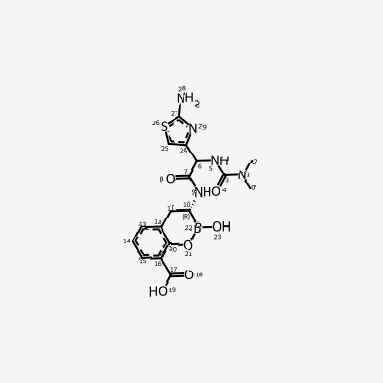 CN(C)C(=O)NC(C(=O)N[C@H]1Cc2cccc(C(=O)O)c2OB1O)c1csc(N)n1